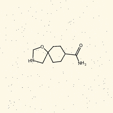 NC(=O)C1CCC2(CC1)CNCO2